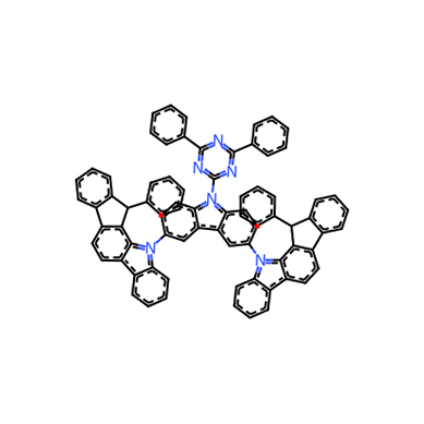 c1ccc(-c2nc(-c3ccccc3)nc(-n3c4ccc(-n5c6ccccc6c6ccc7c(c65)C(c5ccccc5)c5ccccc5-7)cc4c4cc(-n5c6ccccc6c6ccc7c(c65)C(c5ccccc5)c5ccccc5-7)ccc43)n2)cc1